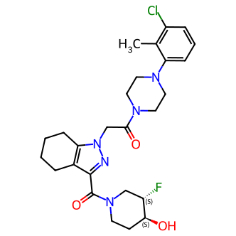 Cc1c(Cl)cccc1N1CCN(C(=O)Cn2nc(C(=O)N3CC[C@H](O)[C@@H](F)C3)c3c2CCCC3)CC1